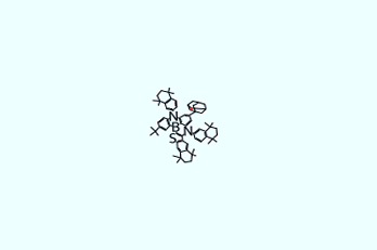 CC(C)(C)c1ccc2c(c1)B1c3sc4cc5c(cc4c3N(c3ccc4c(c3)C(C)(C)CCC4(C)C)c3cc(C46CC7CC(CC(C7)C4)C6)cc(c31)N2c1ccc2c(c1)C(C)(C)CCC2(C)C)C(C)(C)CCC5(C)C